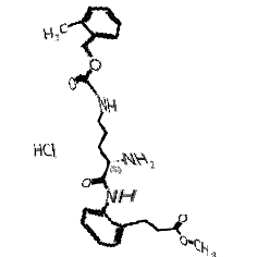 COC(=O)CCc1ccccc1NC(=O)[C@@H](N)CCCNC(=O)OCc1ccccc1C.Cl